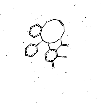 O=C1c2c(O)c(=O)ccn2N2CN1C/C=C\COc1ccccc1[C@@H]2c1ccccc1